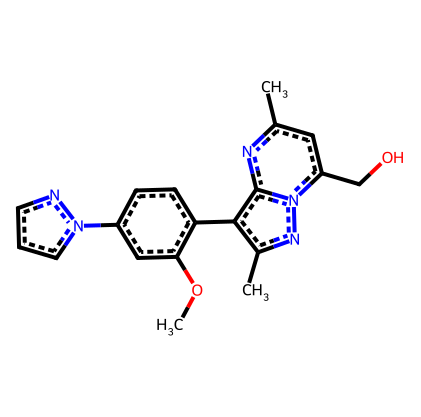 COc1cc(-n2cccn2)ccc1-c1c(C)nn2c(CO)cc(C)nc12